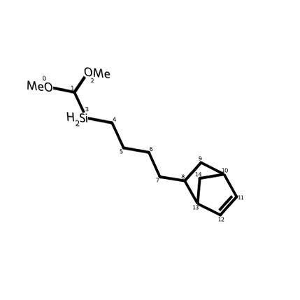 COC(OC)[SiH2]CCCCC1CC2C=CC1C2